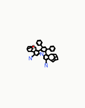 N#Cc1cc2c(c3c1C1CC4CC(C1)CC3C4)c1c(-c3ccccc3)cc(-c3ccccc3)c3c4c5c(c(C#N)cc4n2c13)C1CC2CC3CC5CC23C1